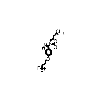 COCC1CN(c2noc3cc(OCCCC(F)(F)F)ccc23)C(=O)O1